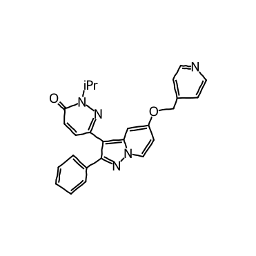 CC(C)n1nc(-c2c(-c3ccccc3)nn3ccc(OCc4ccncc4)cc23)ccc1=O